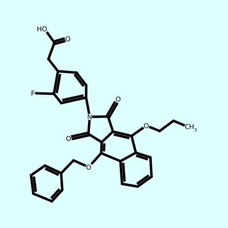 CCCOc1c2c(c(OCc3ccccc3)c3ccccc13)C(=O)N(c1ccc(CC(=O)O)c(F)c1)C2=O